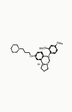 COc1ccc([C@H]2CN3CCC[C@H]3c3cc(OCCCN4CCCCC4)ccc32)c(OC)c1